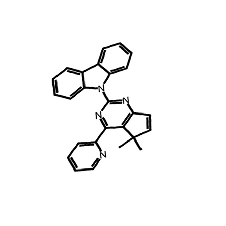 CC1(C)C=Cc2nc(-n3c4ccccc4c4ccccc43)nc(-c3ccccn3)c21